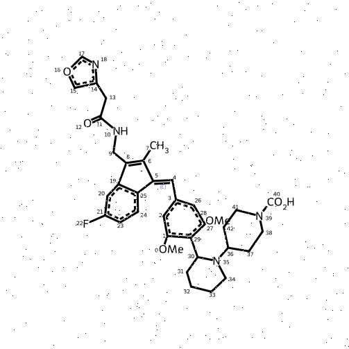 COc1cc(/C=C2/C(C)=C(CNC(=O)Cc3cocn3)c3cc(F)ccc32)cc(OC)c1C1CCCCN1C1CCN(C(=O)O)CC1